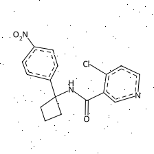 O=C(NC1(c2ccc([N+](=O)[O-])cc2)CCC1)c1cnccc1Cl